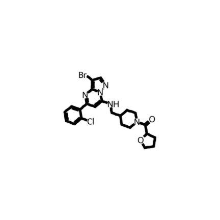 O=C(C1CCCO1)N1CCC(CNc2cc(-c3ccccc3Cl)nc3c(Br)cnn23)CC1